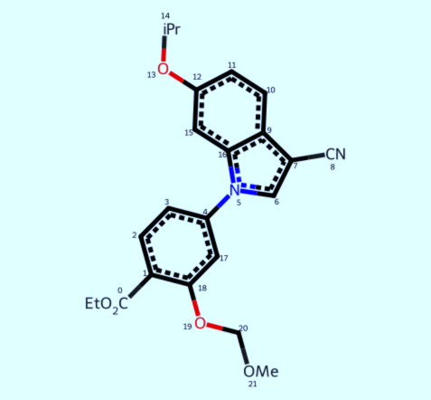 CCOC(=O)c1ccc(-n2cc(C#N)c3ccc(OC(C)C)cc32)cc1OCOC